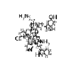 NCCCC(=O)N[C@@H](CCc1c[nH]c2ccc(O)cc12)C(=O)N[C@@H](Cc1ccc(Cl)cc1)C(=O)N[C@@H](Cc1ccncc1)C(=O)N[C@H](CCc1c[nH]c2ccccc12)C(N)=O